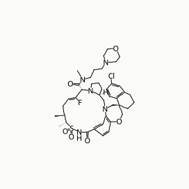 C[C@@H]1[C@@H](C)C/C=C(\F)[C@H](C(=O)N(C)CCCN2CCOCC2)N2CCC[C@H]2CN2C[C@@]3(CCCc4cc(Cl)ccc43)COc3ccc(cc32)C(=O)NS1(=O)=O